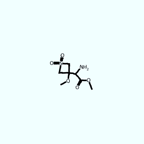 COC(=O)C(N)C1(OC)CS(=O)(=O)C1